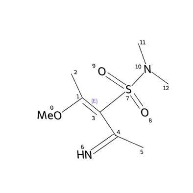 CO/C(C)=C(\C(C)=N)S(=O)(=O)N(C)C